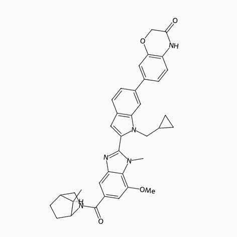 COc1cc(C(=O)N2CC3CCC2[C@@H]3C)cc2nc(-c3cc4ccc(-c5ccc6c(c5)OCC(=O)N6)cc4n3CC3CC3)n(C)c12